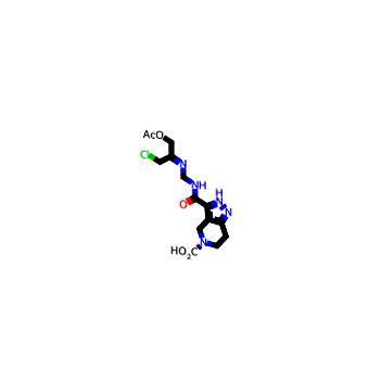 CC(=O)OC/C(CCl)=N/CNC(=O)c1[nH]nc2c1CN(C(=O)O)CC2